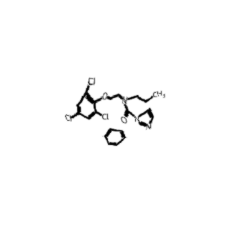 CCCN(CCOc1c(Cl)cc(Cl)cc1Cl)C(=O)n1ccnc1.[c]1cc[c]cc1